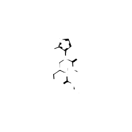 CCOC(=O)NC(=S)N(C[C@H](CC(C)C)NC(=O)OC(C)(C)C)c1cc[nH]c1C(=O)OCC